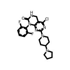 O=C1NCc2c(Cl)nc(N3CCC(N4CCCC4)CC3)nc2N1c1c(F)cccc1F